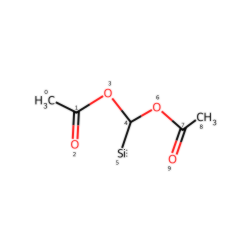 CC(=O)OC([Si])OC(C)=O